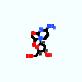 CC(=O)[N+]1([C@H]2C[C@H](O)[C@@H](CO)O2)C=CC(N)=NC1=O